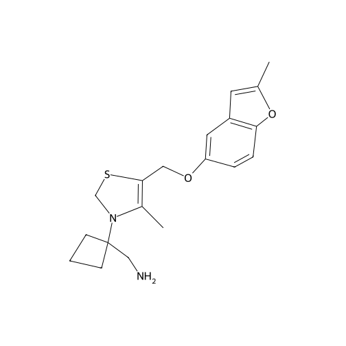 CC1=C(COc2ccc3oc(C)cc3c2)SCN1C1(CN)CCC1